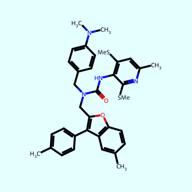 CSc1cc(C)nc(SC)c1NC(=O)N(Cc1ccc(N(C)C)cc1)Cc1oc2ccc(C)cc2c1-c1ccc(C)cc1